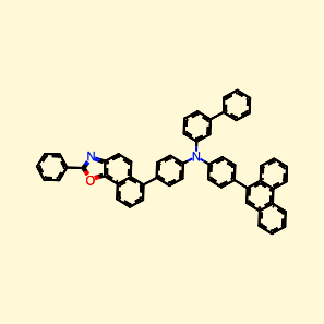 c1ccc(-c2cccc(N(c3ccc(-c4cc5ccccc5c5ccccc45)cc3)c3ccc(-c4cccc5c4ccc4nc(-c6ccccc6)oc45)cc3)c2)cc1